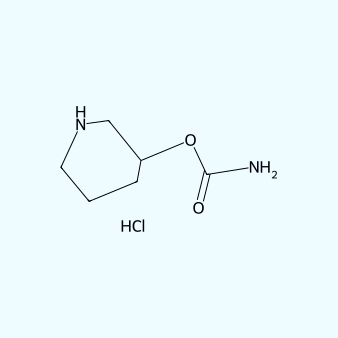 Cl.NC(=O)OC1CCCNC1